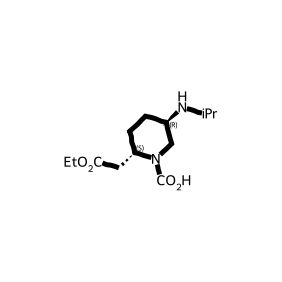 CCOC(=O)C[C@@H]1CC[C@@H](NC(C)C)CN1C(=O)O